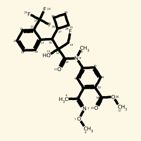 CON=C(C)c1cc(N(C)C(=O)C(O)(CF)C(c2ccccc2C(F)(F)F)C2CCC2)ccc1C(=O)OC